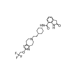 O=C1Cc2cccc(C(=O)N[C@H]3CC[C@H](CCN4CCc5nc(OCC(F)(F)F)sc5CC4)CC3)c2N1